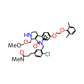 CNC(=O)CCc1ccc(Cl)c(CN(C(=O)C2=C(c3ccc(OCCOc4c(C)cccc4C)cc3)CCN[C@@H]2COCOC)C2CC2)c1